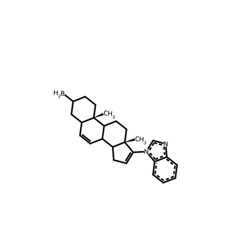 BC1CC[C@@]2(C)C(C=CC3C2CC[C@]2(C)C(n4cnc5ccccc54)=CCC32)C1